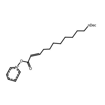 CCCCCCCCCCCCCCCCCCC=CC(=O)O[n+]1ccccc1